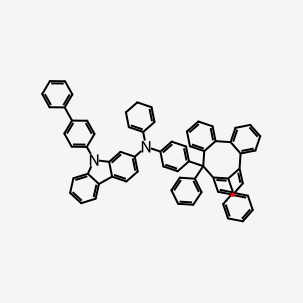 C1=CC(N(c2ccc(C3(c4ccccc4)c4ccccc4-c4ccccc4-c4cccc3c4-c3ccccc3)cc2)c2ccc3c4ccccc4n(-c4ccc(-c5ccccc5)cc4)c3c2)=CCC1